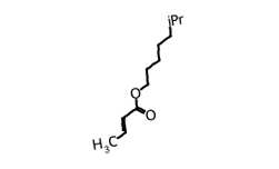 CC=CC(=O)OCCCCCC(C)C